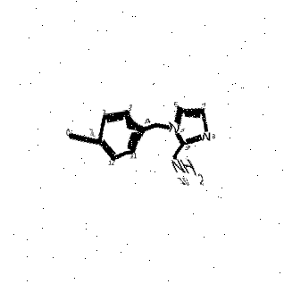 Cc1ccc(-n2ccnc2N)cc1